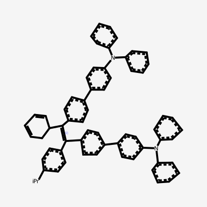 CC(C)c1ccc(/C(=C(/c2ccc(-c3ccc(N(c4ccccc4)c4ccccc4)cc3)cc2)C2C=CC=CC2)c2ccc(-c3ccc(N(c4ccccc4)c4ccccc4)cc3)cc2)cc1